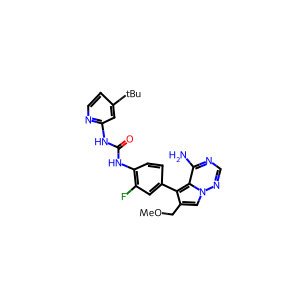 COCc1cn2ncnc(N)c2c1-c1ccc(NC(=O)Nc2cc(C(C)(C)C)ccn2)c(F)c1